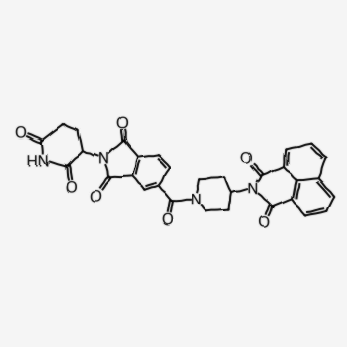 O=C1CCC(N2C(=O)c3ccc(C(=O)N4CCC(N5C(=O)c6cccc7cccc(c67)C5=O)CC4)cc3C2=O)C(=O)N1